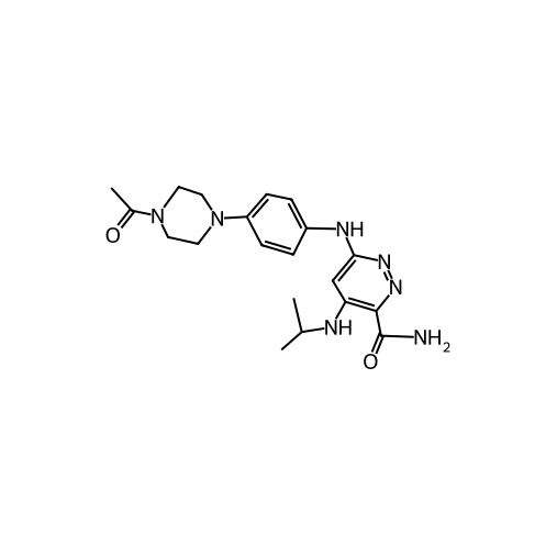 CC(=O)N1CCN(c2ccc(Nc3cc(NC(C)C)c(C(N)=O)nn3)cc2)CC1